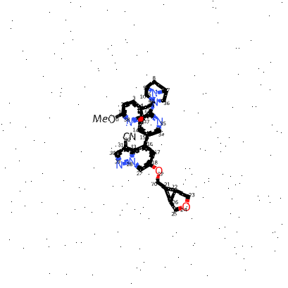 COc1ccc(CN2C3CC2CN(c2ccc(-c4cc(OCC5C6COCC65)cn5ncc(C#N)c45)cn2)C3)cn1